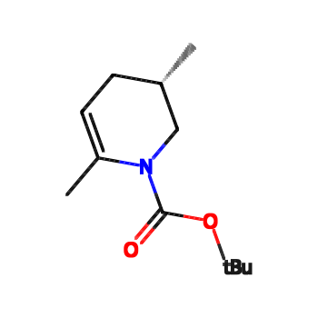 CC1=CC[C@H](C)CN1C(=O)OC(C)(C)C